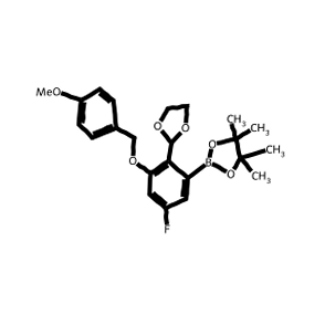 COc1ccc(COc2cc(F)cc(B3OC(C)(C)C(C)(C)O3)c2C2OCCO2)cc1